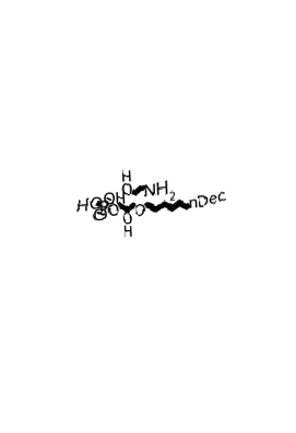 CCCCCCCCCCCCCCCCOCC(O)COP(=O)(O)O.NCCO